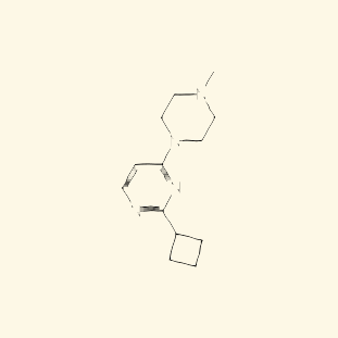 CN1CCN(c2ccnc(C3CCC3)n2)CC1